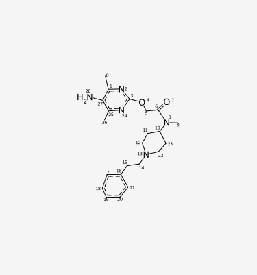 Cc1nc(OCC(=O)N(C)C2CCN(CCc3ccccc3)CC2)nc(C)c1N